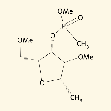 COC[C@H]1O[C@@H](C)C(OC)[C@H]1OP(C)(=O)OC